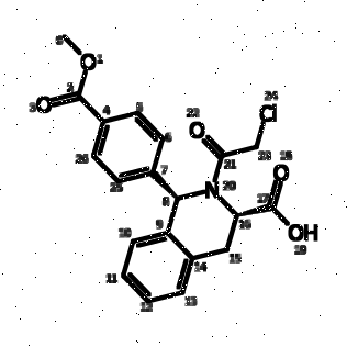 COC(=O)c1ccc([C@@H]2c3ccccc3C[C@H](C(=O)O)N2C(=O)CCl)cc1